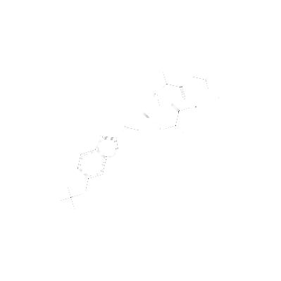 CC(C)OC(=O)C(C)NOP(=O)(NC(C)C(=O)O)ONc1nc2ccc(OC(F)(F)F)cc2s1